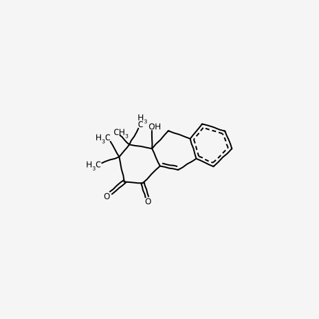 CC1(C)C(=O)C(=O)C2=Cc3ccccc3CC2(O)C1(C)C